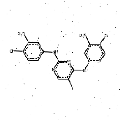 O=[N+]([O-])c1cc(Nc2ncc(F)c(Nc3ccc(Cl)c([N+](=O)[O-])c3)n2)ccc1Cl